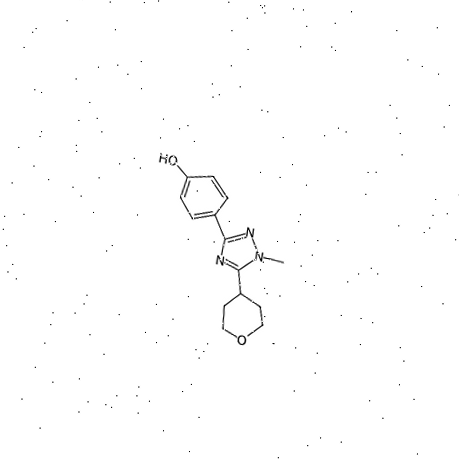 Cn1nc(-c2ccc(O)cc2)nc1C1CCOCC1